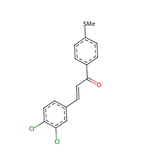 CSc1ccc(C(=O)C=Cc2ccc(Cl)c(Cl)c2)cc1